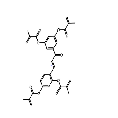 C=C(C)C(=O)Oc1cc(OC(=O)C(=C)C)cc(C(=O)/C=C/c2ccc(OC(=O)C(=C)C)cc2OC(=O)C(=C)C)c1